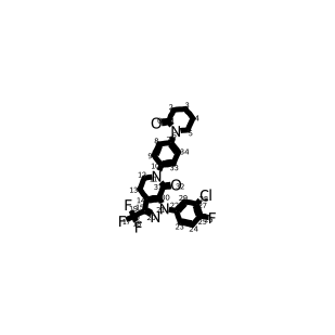 O=C1CCCCN1c1ccc(N2CCc3c(C(F)(F)F)nn(-c4ccc(F)c(Cl)c4)c3C2=O)cc1